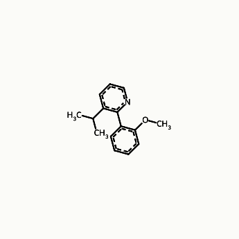 COc1ccccc1-c1ncccc1C(C)C